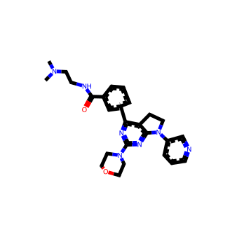 CN(C)CCNC(=O)c1cccc(-c2nc(N3CCOCC3)nc3c2CCN3c2cccnc2)c1